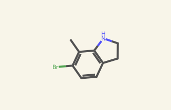 Cc1c(Br)ccc2c1NCC2